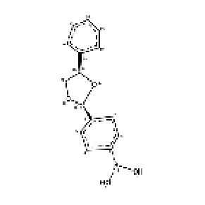 OB(O)c1ccc([C@H]2OC[C@@H](c3ccccc3)O2)cc1